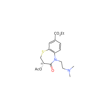 CCOC(=O)c1ccc2c(c1)SC[C@@H](OC(C)=O)C(=O)N2CCN(C)C